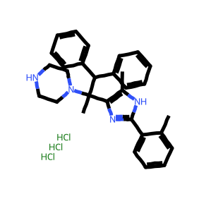 Cc1ccccc1-c1nc(C(C)(C(c2ccccc2)c2ccccc2)N2CCNCC2)c(C)[nH]1.Cl.Cl.Cl